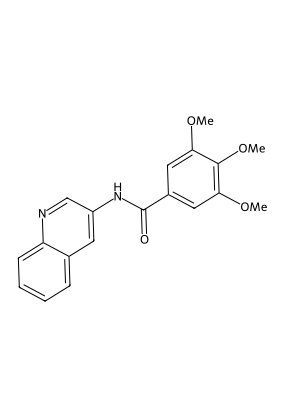 COc1cc(C(=O)Nc2cnc3ccccc3c2)cc(OC)c1OC